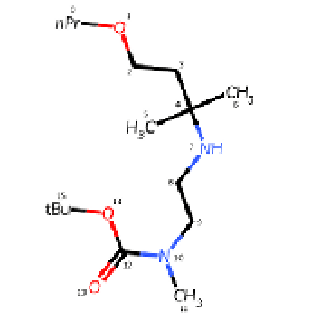 CCCOCCC(C)(C)NCCN(C)C(=O)OC(C)(C)C